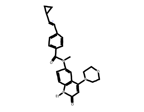 CCn1c(=O)cc(N2CCOCC2)c2cc(N(C)C(=O)c3ccc(/C=C/C4CC4)cc3)ccc21